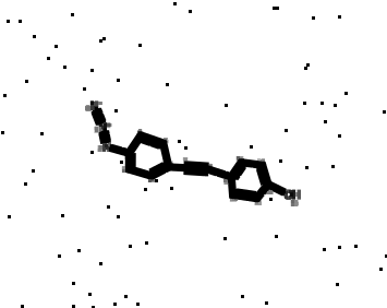 [N-]=[N+]=Nc1ccc(C#Cc2ccc(O)cc2)cc1